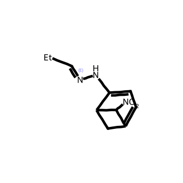 CC/C=N/NC1=CC=C2CC1C2[N+](=O)[O-]